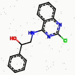 OC(CNc1nc(Cl)nc2ccccc12)c1ccccc1